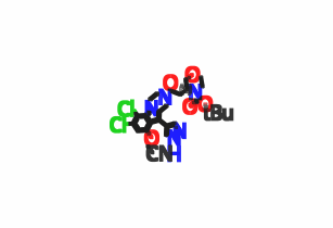 CC(C)(C)OC(=O)N1CCOC[C@@H]1CC(=O)N1CCn2c(c(-c3cn[nH]c3)c3c(OCC#N)cc(Cl)c(Cl)c32)C1